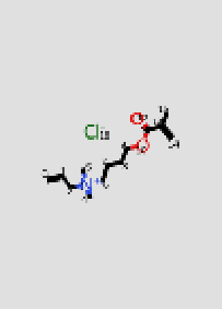 C=CC[N+](C)(C)CCCCOC(=O)C(=C)C.[Cl-]